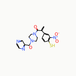 C=C(C(=O)N1CCN(C(=O)c2cnccn2)CC1)c1ccc(S)c([N+](=O)[O-])c1